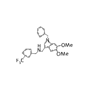 COc1cc2c(CNCc3cccc(C(F)(F)F)c3)cn(Cc3ccccc3)c2cc1OC